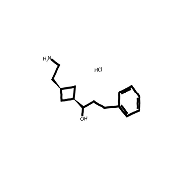 Cl.NCC[C@H]1C[C@@H](C(O)CCc2ccccc2)C1